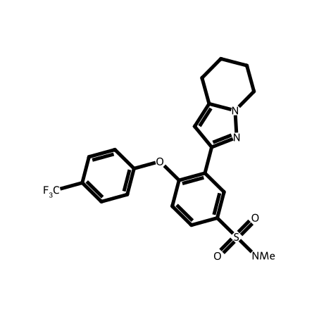 CNS(=O)(=O)c1ccc(Oc2ccc(C(F)(F)F)cc2)c(-c2cc3n(n2)CCCC3)c1